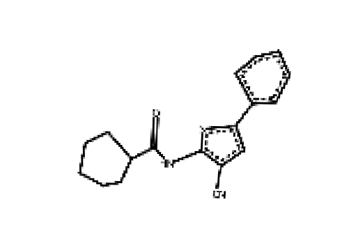 N#Cc1cc(-c2ccccc2)sc1NC(=O)C1CCCCC1